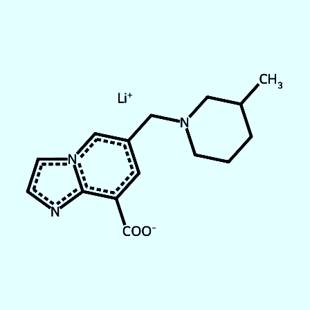 CC1CCCN(Cc2cc(C(=O)[O-])c3nccn3c2)C1.[Li+]